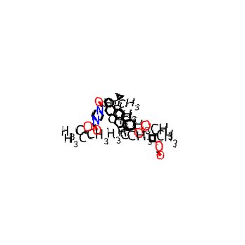 CC(C)(C)OC(=O)N1CCN(C(=O)[C@]23CC[C@@H](C4(C)CC4)[C@@H]2[C@H]2CC[C@@H]4[C@@]5(C)CC[C@H](OC(=O)[C@H]6C[C@@H](OC=O)C6(C)C)C(C)(C)[C@@H]5CC[C@@]4(C)[C@]2(C)CC3)CC1